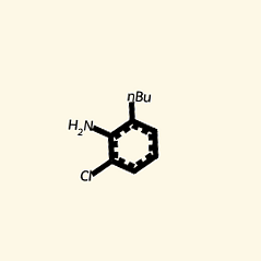 CCCCc1cccc(Cl)c1N